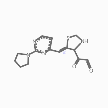 O=CC(=O)C1NCS/C1=C\c1ccnc(N2CCCC2)n1